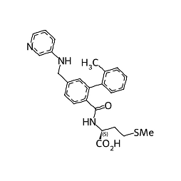 CSCC[C@H](NC(=O)c1ccc(CNc2cccnc2)cc1-c1ccccc1C)C(=O)O